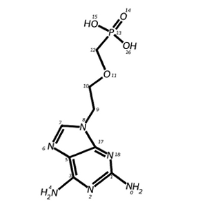 Nc1nc(N)c2ncn(CCOCP(=O)(O)O)c2n1